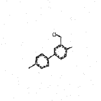 Cc1ccc(-c2ccc(C)c(CCl)c2)cc1